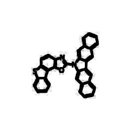 c1ccc2cc3c(cc2c1)c1cc2ccccc2cc1n3-c1nc2ccc3sc4ccccc4c3c2o1